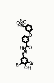 CS(=O)(=O)Nc1cccc(Oc2cccc(C(=O)N/N=C/c3cc(Br)c(O)c(Br)c3)c2)c1